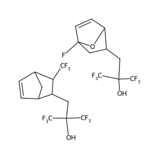 OC(CC1C2C=CC(C2)C1C(F)(F)F)(C(F)(F)F)C(F)(F)F.OC(CC1CC2(F)C=CC1O2)(C(F)(F)F)C(F)(F)F